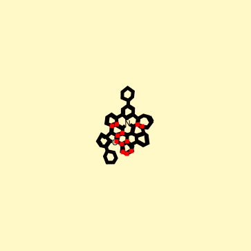 C1#CCC(c2cc(C3CCCCC3)cc(-c3ccccc3)c2N(C2=C(c3cccc4ccccc34)c3c(cccc3C3CCCCC3)CC2)c2ccc3c(c2)oc2c(C4CCCCC4)cccc23)=CC=C1